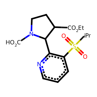 CCOC(=O)C1CCN(C(=O)O)C1c1ncccc1S(=O)(=O)C(C)C